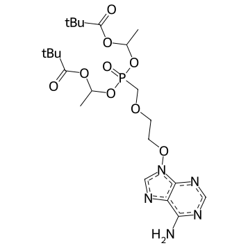 CC(OC(=O)C(C)(C)C)OP(=O)(COCCOn1cnc2c(N)ncnc21)OC(C)OC(=O)C(C)(C)C